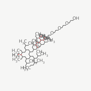 CCCC(CC)CC(CC(CC)CC)CC(CC(CC(CC)CC)CC(CC)CC)CC(CC(CC(CC)CC)CC(CC)CC)CC(CC(CC(CC(CC)CC)CC(CC)CC)CC(CC(CC)CC)CC(CC)CC)CC(CC)C(=O)OCCCOCCCOCCCOCCCOCCCO